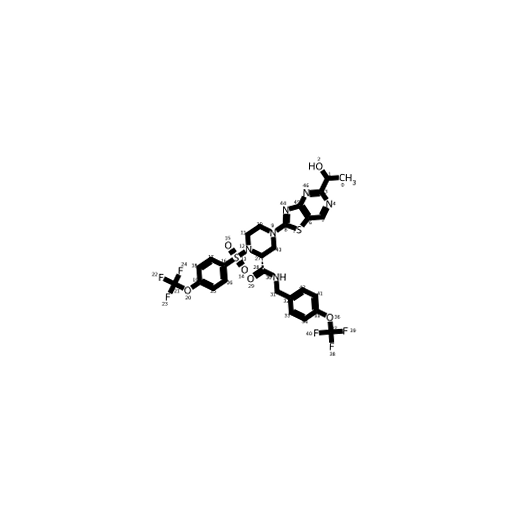 CC(O)c1ncc2sc(N3CCN(S(=O)(=O)c4ccc(OC(F)(F)F)cc4)[C@@H](C(=O)NCc4ccc(OC(F)(F)F)cc4)C3)nc2n1